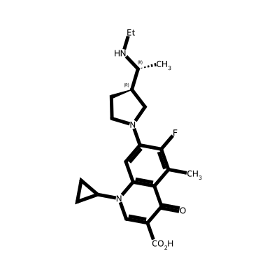 CCN[C@H](C)[C@@H]1CCN(c2cc3c(c(C)c2F)c(=O)c(C(=O)O)cn3C2CC2)C1